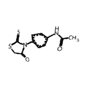 CC(=O)Nc1ccc(N2C(=O)CSC2=S)cc1